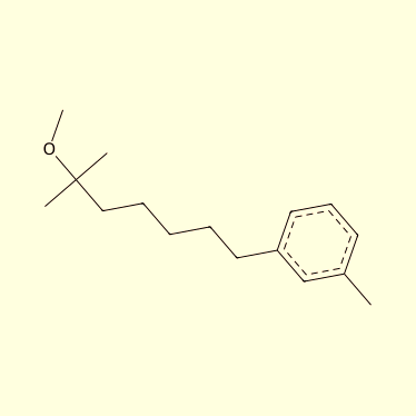 COC(C)(C)CCCCCc1cccc(C)c1